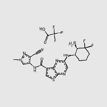 Cn1cc(NC(=O)c2csc3ncc(N[C@@H]4CCCC(F)(F)[C@@H]4N)nc23)c(C#N)n1.O=C(O)C(F)(F)F